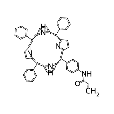 C=CC(=O)Nc1ccc(-c2c3nc(c(-c4ccccc4)c4ccc([nH]4)c(-c4ccccc4)c4nc(c(-c5ccccc5)c5ccc2[nH]5)C=C4)C=C3)cc1